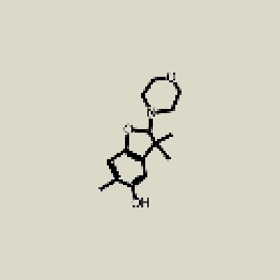 Cc1cc2c(cc1O)C(C)(C)C(N1CCOCC1)O2